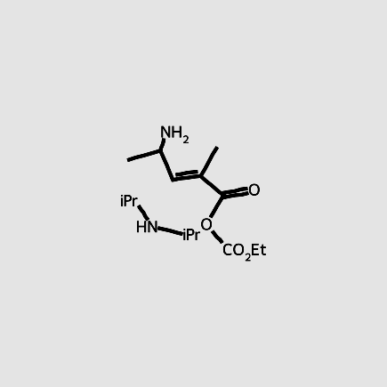 CC(C)NC(C)C.CCOC(=O)OC(=O)C(C)=CC(C)N